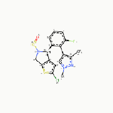 CCn1cc(-c2c(F)cccc2[Si@H]2c3cc(Cl)sc3CN2[SH]=O)c(C(F)(F)F)n1